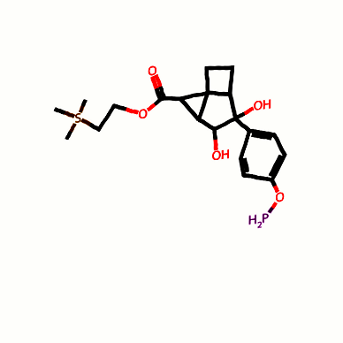 CS(C)(C)CCOC(=O)C1C2C(O)C(O)(c3ccc(OP)cc3)C3CCC123